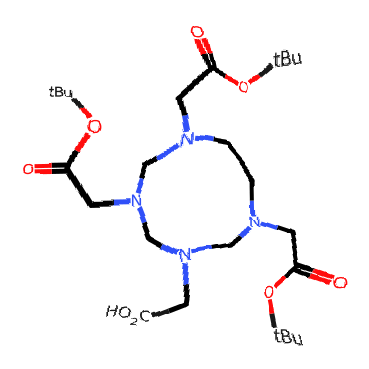 CC(C)(C)OC(=O)CN1CCN(CC(=O)OC(C)(C)C)CN(CC(=O)OC(C)(C)C)CN(CC(=O)O)C1